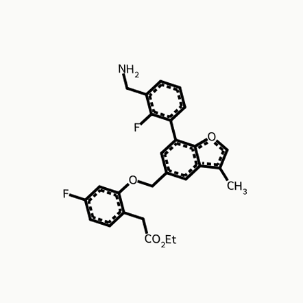 CCOC(=O)Cc1ccc(F)cc1OCc1cc(-c2cccc(CN)c2F)c2occ(C)c2c1